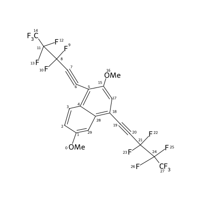 COc1ccc2c(C#CC(F)(F)C(F)(F)C(F)(F)F)c(OC)cc(C#CC(F)(F)C(F)(F)C(F)(F)F)c2c1